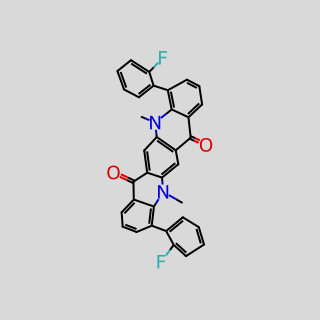 Cn1c2cc3c(=O)c4cccc(-c5ccccc5F)c4n(C)c3cc2c(=O)c2cccc(-c3ccccc3F)c21